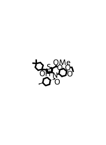 COC(=O)c1sc(C2(O)CCC(C)(C)CC2)cc1N(C(=O)[C@H]1CC[C@H](C)CC1)C1CCC2(CC1)OCCO2